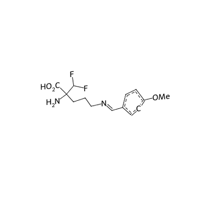 COc1ccc(C=NCCCC(N)(C(=O)O)C(F)F)cc1